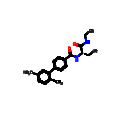 Cc1ccc(C(=O)O)cc1-c1ccc(C(=O)N[C@@H](CC(C)C)C(=O)NCC#N)cc1